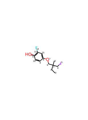 CCC(C)(CI)COc1ccc(O)c(F)c1